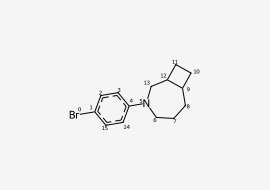 Brc1ccc(N2CCCC3CCC3C2)cc1